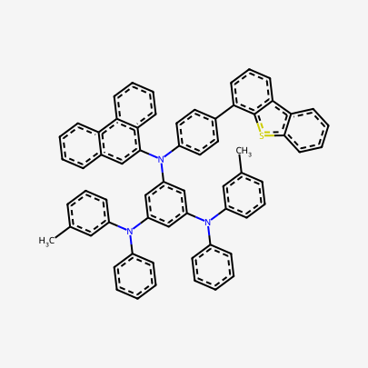 Cc1cccc(N(c2ccccc2)c2cc(N(c3ccccc3)c3cccc(C)c3)cc(N(c3ccc(-c4cccc5c4sc4ccccc45)cc3)c3cc4ccccc4c4ccccc34)c2)c1